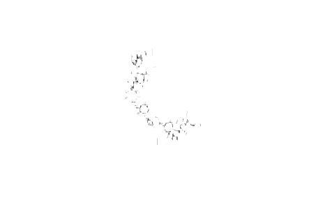 Cn1nc(N2CCC(=O)NC2=O)c2ccc(C3CCN(Cc4cccc(SC5CCC(Nc6ncc(C(F)(F)F)c(-c7cnn(CC(F)(F)F)c7)n6)CC5)c4)CC3)cc21